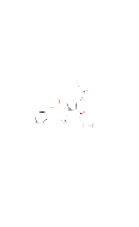 CCCCCCCCOC(=O)Nc1sc(C(=O)OCc2ccccc2)c(COC)c1C(=O)OC(C)(C)C